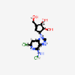 OCC1=CC(n2cnc3c(NCl)nc(Cl)cc32)C(O)C1O